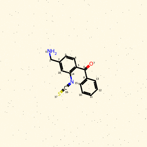 NCc1ccc(C(=O)c2ccccc2)c(N=C=S)c1